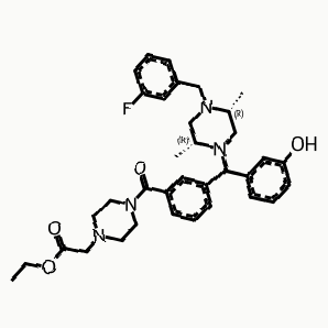 CCOC(=O)CN1CCN(C(=O)c2cccc(C(c3cccc(O)c3)N3C[C@@H](C)N(Cc4cccc(F)c4)C[C@H]3C)c2)CC1